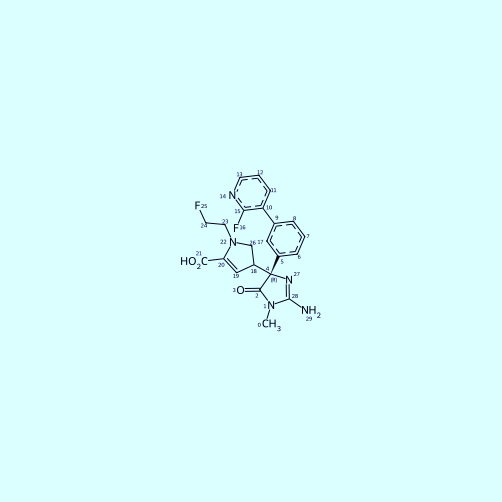 CN1C(=O)[C@](c2cccc(-c3cccnc3F)c2)(C2C=C(C(=O)O)N(CCF)C2)N=C1N